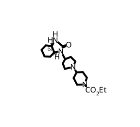 CCOC(=O)N1CCC(N2CCC(N3C(=O)N[C@H]4CCCC[C@H]43)CC2)CC1